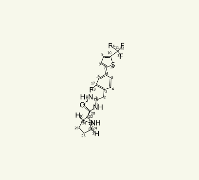 N[C@H](Cc1ccc(-c2ccc(C(F)(F)F)s2)cc1F)NC(=O)[C@H]1N[C@@H]2CC[C@H]1C2